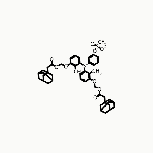 Cc1c(OCOC(=O)CC23CC4CC(CC(C4)C2)C3)cccc1[S+](c1ccccc1)c1cccc(OCOC(=O)CC23CC4CC(CC(C4)C2)C3)c1C.O=S(=O)([O-])C(F)(F)F